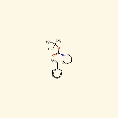 C=C(c1ccccc1)[C@H]1CCCCN1C(=O)OC(C)(C)C